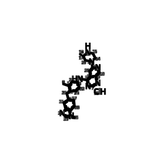 Cc1cc(Nc2ncnc3cnc(N4CCN[C@H](C)C4)cc23)ccc1Cc1ccc2c(c1)ncn2C.Cl